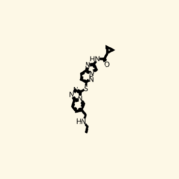 CCNCc1ccc2nnc(Sc3ccc4nc(NC(=O)C5CC5)cn4n3)n2c1